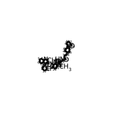 Cc1nc2ccccc2c(N2CCCCC2)c1OCc1c(Cl)ccc(N(C)C(=O)CNC(=O)/C=C/c2ccc(N3CCCC3=O)cc2)c1Cl